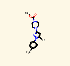 CCc1cc(N2CCN(C(=O)OC(C)(C)C)CC2)nn1-c1ccc(C(F)(F)F)cc1